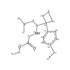 CCOC(=O)CNC(CC(C)C)C1(c2ccc(CI)cc2)CCC1